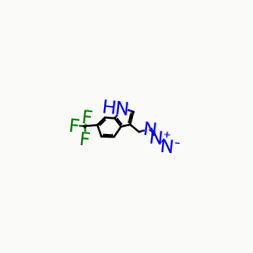 [N-]=[N+]=NCc1c[nH]c2cc(C(F)(F)F)ccc12